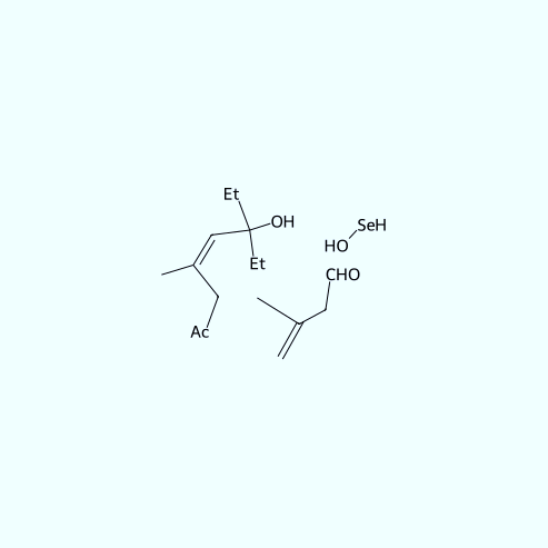 C=C(C)CC=O.CCC(O)(C=C(C)CC(C)=O)CC.O[SeH]